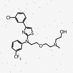 CN(CCO)CCOCCN(c1cccc(C(F)(F)F)c1)c1nc(-c2cccc(Cl)c2)cs1